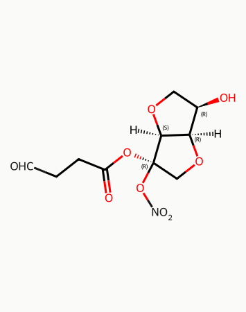 O=CCCC(=O)O[C@@]1(O[N+](=O)[O-])CO[C@@H]2[C@H](O)CO[C@@H]21